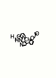 Cc1cccnc1Nc1nccc(-c2cccc(OCC3CO3)c2)c1C